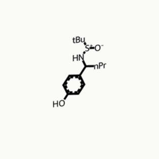 CCCC(N[S+]([O-])C(C)(C)C)c1ccc(O)cc1